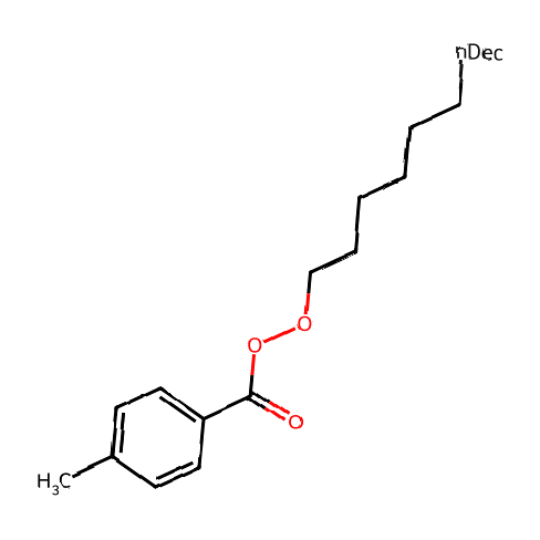 [CH2]CCCCCCCCCCCCCCCOOC(=O)c1ccc(C)cc1